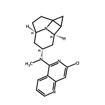 CN(c1nc(Cl)cc2ncccc12)[C@@H]1C[C@H]2CCC34CC3[C@@H](C1)N24